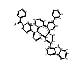 O=C(c1ccccc1)c1ccc2c(c1)c1cccc3c4cc(-c5ccccc5)ccc4c4ccc(-c5cccc6c5sc5ccccc56)cc4c4cccc2c4c31